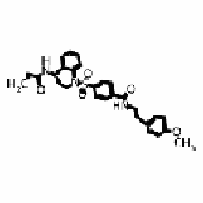 C=CC(=O)NC1CCN(S(=O)(=O)c2ccc(C(=O)NCCc3ccc(OC)cc3)cc2)c2ccccc21